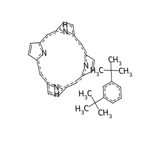 C1=Cc2cc3ccc(cc4nc(cc5ccc(cc1n2)[nH]5)C=C4)[nH]3.CC(C)(C)c1cccc(C(C)(C)C)c1